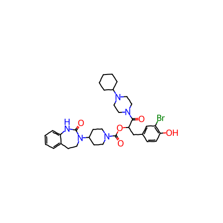 O=C(OC(Cc1ccc(O)c(Br)c1)C(=O)N1CCN(C2CCCCC2)CC1)N1CCC(N2CCc3ccccc3NC2=O)CC1